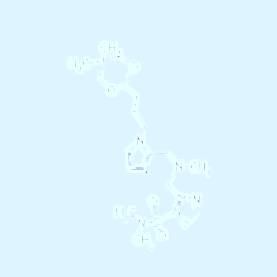 CN(Cc1nccn1CCCC1OCC(C)(C)CO1)Cc1nccn1S(=O)(=O)N(C)C